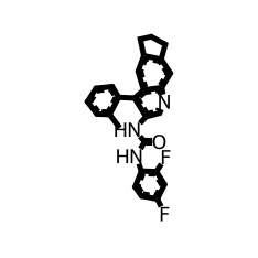 Cc1ccccc1-c1c(NC(=O)Nc2ccc(F)cc2F)cnc2cc3c(cc12)CCC3